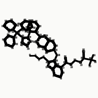 CCCCc1nc2cccc(C(=O)OCOC(=O)C(C)(C)C)c2n1Cc1ccc2nc(-c3ccccc3-c3nnnn3C(c3ccccc3)(c3ccccc3)c3ccccc3)ncc2c1